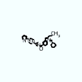 CCCc1cc2cc(C(=O)N3CC(N4CCN(c5ccccn5)CC4)C3)ccc2n1CC1CCCCC1